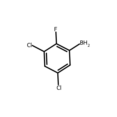 Bc1cc(Cl)cc(Cl)c1F